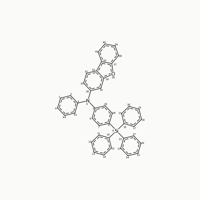 c1ccc(N(c2ccc([Si](c3ccccc3)(c3ccccc3)c3ccccc3)cc2)c2ccc3c(c2)oc2ccccc23)cc1